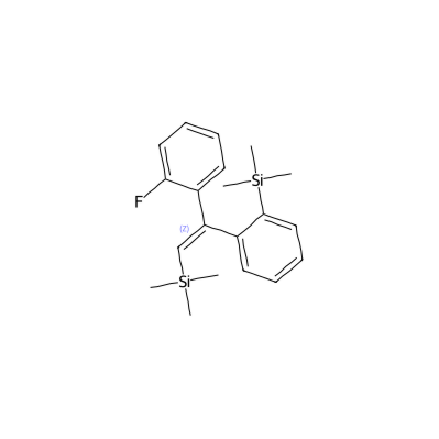 C[Si](C)(C)/C=C(/c1ccccc1F)c1ccccc1[Si](C)(C)C